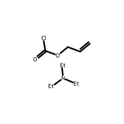 C=CCOC(=O)Cl.CCN(CC)CC